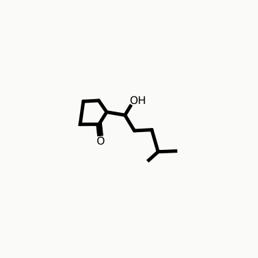 CC(C)CCC(O)C1CCCC1=O